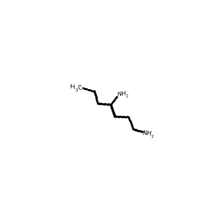 CCCC(N)CCCN